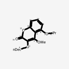 CCCCCCCCCCOc1c(OC)c2c(OC(C)C)cccc2oc1=O